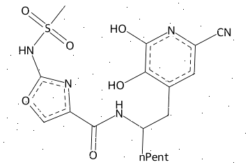 CCCCCC(Cc1cc(C#N)nc(O)c1O)NC(=O)c1coc(NS(C)(=O)=O)n1